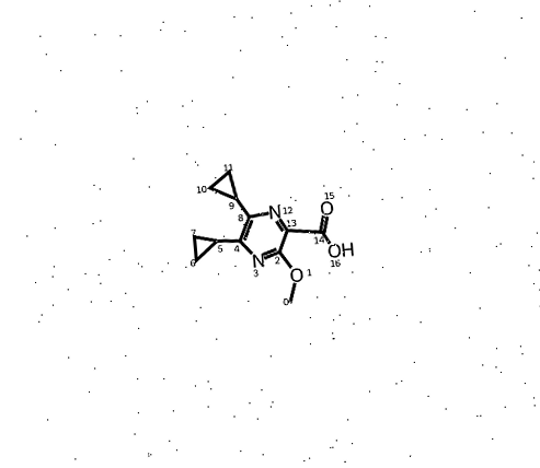 COc1nc(C2CC2)c(C2CC2)nc1C(=O)O